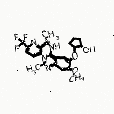 COc1cc2nc(C)nc(N[C@H](C)c3cccc(C(F)(F)F)n3)c2cc1OC1CCCC1O